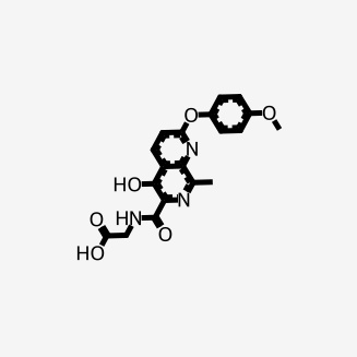 COc1ccc(Oc2ccc3c(O)c(C(=O)NCC(=O)O)nc(C)c3n2)cc1